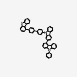 c1ccc(-n2c3ccccc3c3c(-c4ccc5c6ccccc6n(-c6ccc(-c7ccc(-c8cccc9sc%10ccccc%10c89)cc7)cc6)c5c4)cccc32)cc1